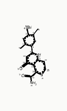 Cc1cc(C(C)(C)C)c(C)cc1-c1cc(=O)c2c(C(N)=O)nccc2[nH]1